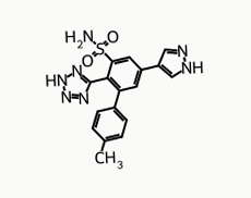 Cc1ccc(-c2cc(-c3cn[nH]c3)cc(S(N)(=O)=O)c2-c2nn[nH]n2)cc1